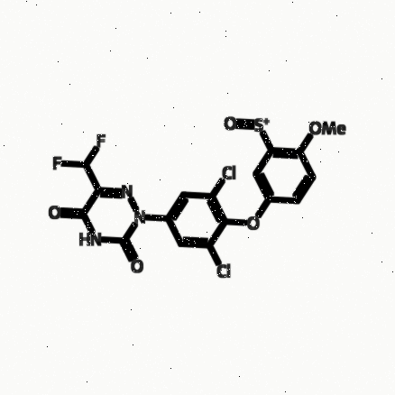 COc1ccc(Oc2c(Cl)cc(-n3nc(C(F)F)c(=O)[nH]c3=O)cc2Cl)cc1[S+]=O